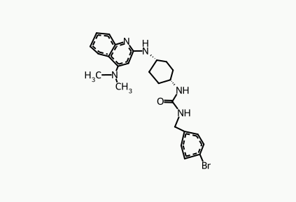 CN(C)c1cc(N[C@H]2CC[C@@H](NC(=O)NCc3ccc(Br)cc3)CC2)nc2ccccc12